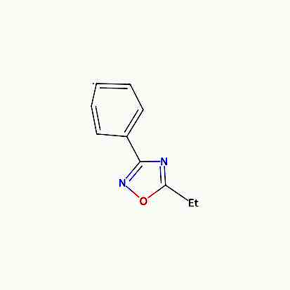 CCc1nc(-c2cc[c]cc2)no1